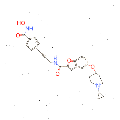 O=C(NO)c1ccc(C#CCNC(=O)c2cc3cc(OC4CCN(C5CC5)CC4)ccc3o2)cc1